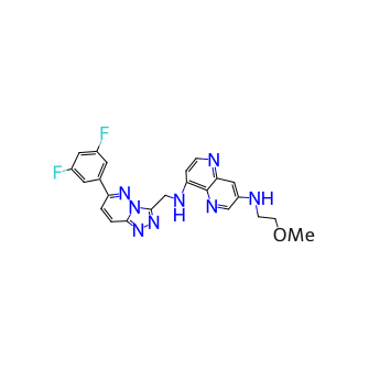 COCCNc1cnc2c(NCc3nnc4ccc(-c5cc(F)cc(F)c5)nn34)ccnc2c1